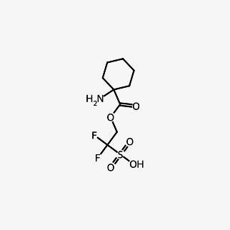 NC1(C(=O)OCC(F)(F)S(=O)(=O)O)CCCCC1